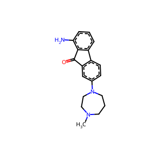 CN1CCCN(c2ccc3c(c2)C(=O)c2c(N)cccc2-3)CC1